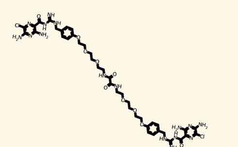 N=C(NCc1ccc(OCCOCCOCCNC(=O)C(=O)NCCOCCOCCOc2ccc(CNC(=N)NC(=O)c3nc(Cl)c(N)nc3N)cc2)cc1)NC(=O)c1nc(Cl)c(N)nc1N